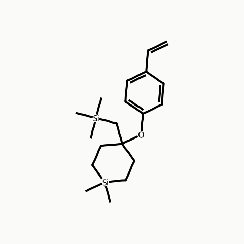 C=Cc1ccc(OC2(C[Si](C)(C)C)CC[Si](C)(C)CC2)cc1